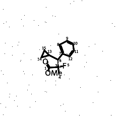 COC(=O)C(C)(F)[C@H](c1ccccc1)C1CC1